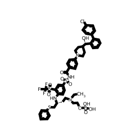 CCN(CCOP(=O)(O)O)CC[C@H](CSc1ccccc1)Nc1ccc(S(=O)(=O)NC(=O)c2ccc(N3CCC([C@H](O)c4ccccc4-c4ccc(Cl)cc4)CC3)cc2)cc1S(=O)(=O)C(F)(F)F